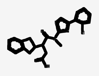 CN(C(=O)C(CC(=O)O)C1Cc2ccccc2C1)c1nc(-c2ccccc2Cl)cs1